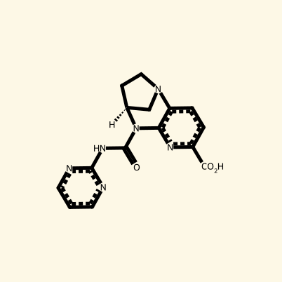 O=C(O)c1ccc2c(n1)N(C(=O)Nc1ncccn1)[C@H]1CCN2C1